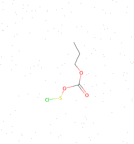 CCCOC(=O)OSCl